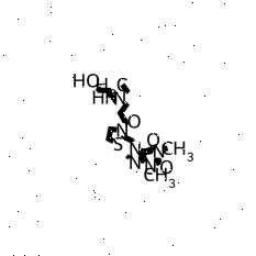 CCN(CCC(=O)N1CCSC1Cn1cnc2c1c(=O)n(C)c(=O)n2C)NCCO